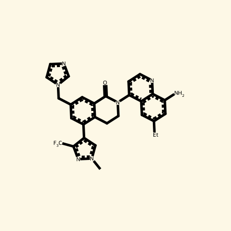 CCc1cc(N)c2nccc(N3CCc4c(cc(Cn5ccnc5)cc4-c4cn(C)nc4C(F)(F)F)C3=O)c2c1